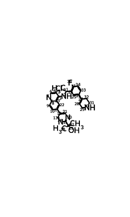 C[C@@H](Nc1c(Cl)cnc2ccc(-c3cnc(C(C)(C)O)nc3)cc12)c1cc(C2=CCNCC2)ccc1F